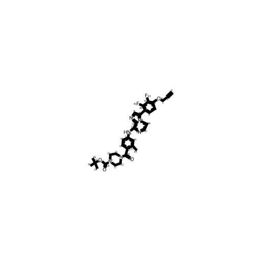 C#CCOc1ccc(-c2cnc3c(Nc4ccc(C(=O)N5CCN(C(=O)OC(C)(C)C)CC5)c(C)c4)nccn23)c(F)c1F